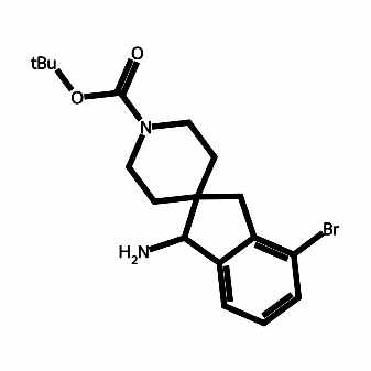 CC(C)(C)OC(=O)N1CCC2(CC1)Cc1c(Br)cccc1C2N